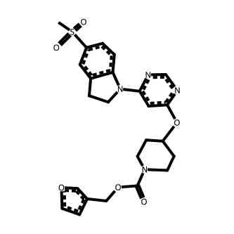 CS(=O)(=O)c1ccc2c(c1)CCN2c1cc(OC2CCN(C(=O)OCc3ccoc3)CC2)ncn1